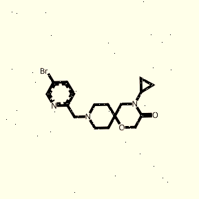 O=C1COC2(CCN(Cc3ccc(Br)cn3)CC2)CN1C1CC1